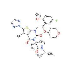 COc1ccc(F)cc1C(Cn1c(=O)n(C(C)(C)C(=O)NC(C)C)c(=O)c2c(C)c(-n3nccn3)sc21)OC1CCOCC1